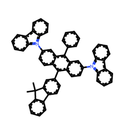 CC1(C)c2ccccc2-c2ccc(-c3c4ccc(-n5c6ccccc6c6ccccc65)cc4c(-c4ccccc4)c4cc(-n5c6ccccc6c6ccccc65)ccc34)cc21